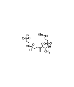 CC(NS(=O)(=O)CCNC(C)(C)C)C(=O)NCCS(=O)(=O)NCCS(=O)(=O)C(C)C